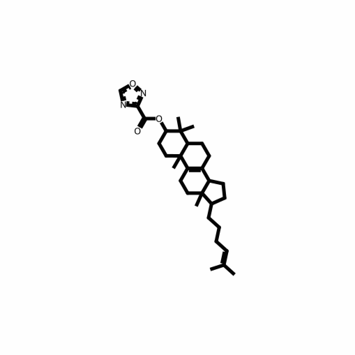 CC(C)=CCCCC1CCC2C3=C(CCC12C)C1(C)CCC(OC(=O)c2ncon2)C(C)(C)C1CC3